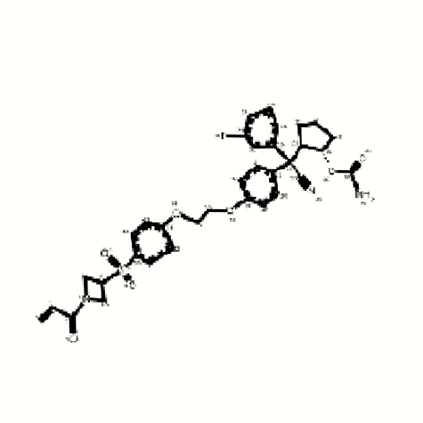 C=CC(=O)N1CC(S(=O)(=O)c2ccc(OCCOc3ccc([C@](C#N)(c4cccc(F)c4)[C@H]4CCC[C@@H]4OC(N)=O)cc3)cc2)C1